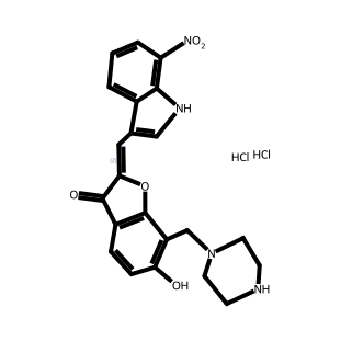 Cl.Cl.O=C1/C(=C/c2c[nH]c3c([N+](=O)[O-])cccc23)Oc2c1ccc(O)c2CN1CCNCC1